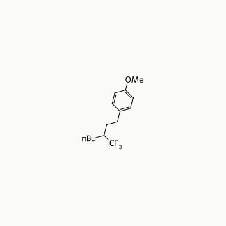 CCCCC(CCc1ccc(OC)cc1)C(F)(F)F